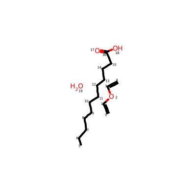 C=COC=C.CCCCCCCCCCCC(=O)O.O